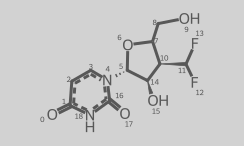 O=c1ccn([C@@H]2OC(CO)[C@@H](C(F)F)[C@H]2O)c(=O)[nH]1